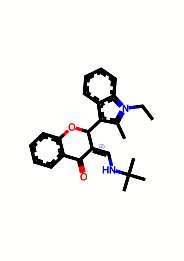 CCn1c(C)c(C2Oc3ccccc3C(=O)/C2=C\NC(C)(C)C)c2ccccc21